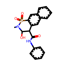 CN1C(O)C(C(=O)Nc2ccccc2)c2cc3ccccc3cc2S1(=O)=O